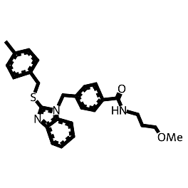 COCCCNC(=O)c1ccc(Cn2c(SCc3ccc(C)cc3)nc3ccccc32)cc1